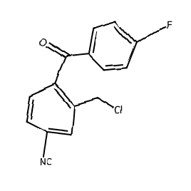 [C-]#[N+]c1ccc(C(=O)c2ccc(F)cc2)c(CCl)c1